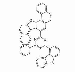 c1ccc(-c2nc(-c3cccc4sc5ccccc5c34)nc(-c3cc4ccc5ccccc5c4c4oc5ccc6ccccc6c5c34)n2)cc1